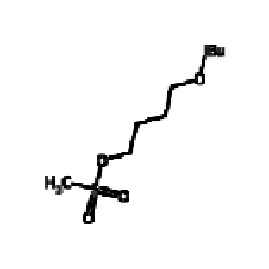 CCC(C)OCCCCOS(C)(=O)=O